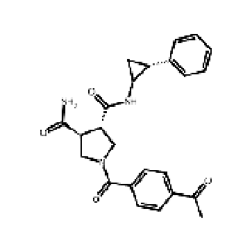 CC(=O)c1ccc(C(=O)N2C[C@@H](C(N)=O)[C@H](C(=O)N[C@H]3C[C@@H]3c3ccccc3)C2)cc1